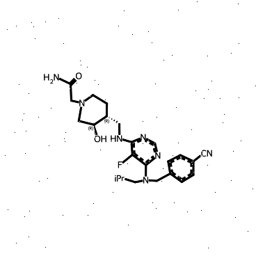 CC(C)CN(Cc1ccc(C#N)cc1)c1ncnc(NC[C@H]2CCN(CC(N)=O)C[C@@H]2O)c1F